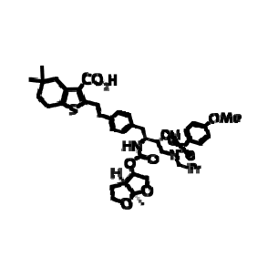 COc1ccc(S(=O)(=O)N(CC(C)C)C[C@@H](O)[C@H](Cc2ccc(CCc3sc4c(c3C(=O)O)CC(C)(C)CC4)cc2)NC(=O)O[C@H]2CO[C@@]3(C)OCC[C@@H]23)cc1